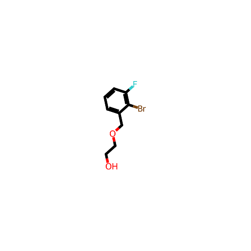 OCCOCc1cccc(F)c1Br